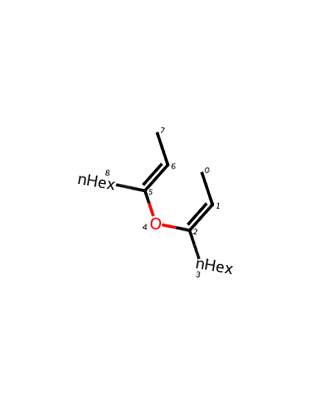 CC=C(CCCCCC)OC(=CC)CCCCCC